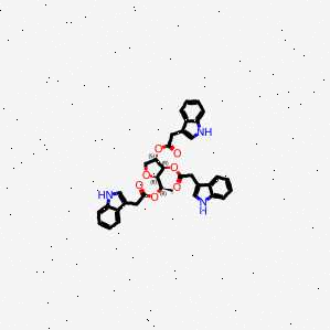 [CH2][C@@H](OC(=O)Cc1c[nH]c2ccccc12)[C@H]1OC[C@H](OC(=O)Cc2c[nH]c3ccccc23)[C@H]1OC(=O)Cc1c[nH]c2ccccc12